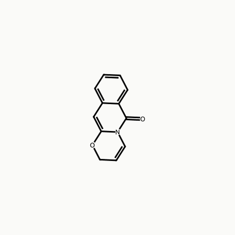 O=c1c2ccccc2cc2n1C=CCO2